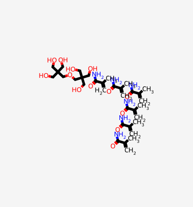 C=C(C)C(N)=O.C=C(C)C(N)=O.C=C(C)C(N)=O.C=C(C)C(N)=O.C=C(C)C(N)=O.C=C(C)C(N)=O.OCC(CO)(CO)COCC(CO)(CO)CO